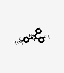 Cc1cccc(-c2nc(-c3ccc(S(C)(=O)=O)cc3)[nH]c2-c2ccncc2)c1